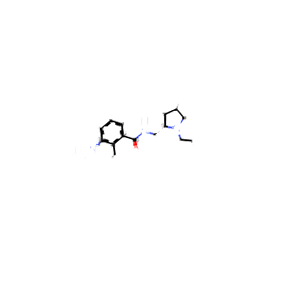 CCN1CCC[C@@H]1CNC(=O)c1cccc(N)c1C